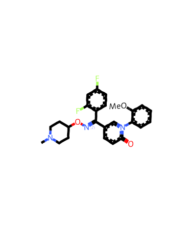 COc1ccccc1-n1cc(/C(=N/OC2CCN(C)CC2)c2ccc(F)cc2F)ccc1=O